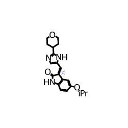 CC(C)Oc1ccc2c(c1)/C(=C/c1cnc(C3CCOCC3)[nH]1)C(=O)N2